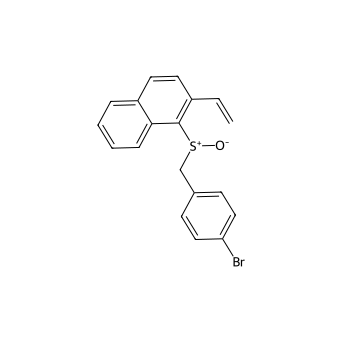 C=Cc1ccc2ccccc2c1[S+]([O-])Cc1ccc(Br)cc1